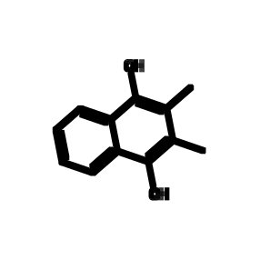 Cc1c(C)c(O)c2ccccc2c1O